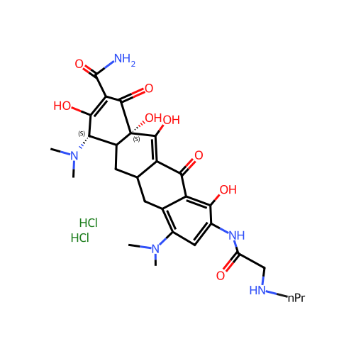 CCCNCC(=O)Nc1cc(N(C)C)c2c(c1O)C(=O)C1=C(O)[C@]3(O)C(=O)C(C(N)=O)=C(O)[C@@H](N(C)C)C3CC1C2.Cl.Cl